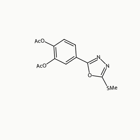 [CH2]Sc1nnc(-c2ccc(OC(C)=O)c(OC(C)=O)c2)o1